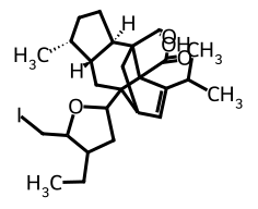 CCC1CC(C23C[C@@H]4[C@H](C)CC[C@H]4C4(C=O)CC2C=C(C(C)C)C34C(=O)O)OC1CI